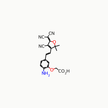 CC1(C)OC(=C(C#N)C#N)C(C#N)=C1/C=C/c1ccc(N)c(OCC(=O)O)c1